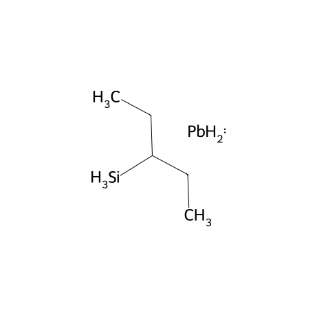 CCC([SiH3])CC.[PbH2]